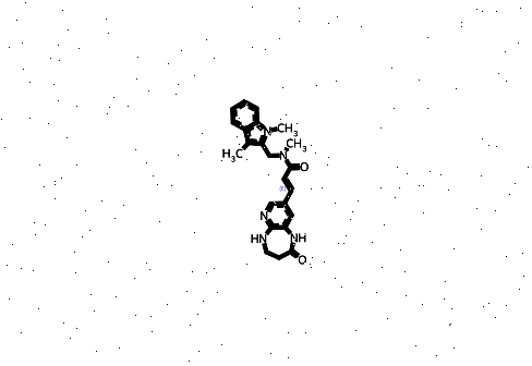 Cc1c(CN(C)C(=O)/C=C/c2cnc3c(c2)NC(=O)CCN3)n(C)c2ccccc12